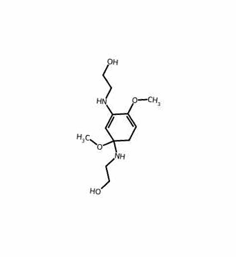 COC1=CCC(NCCO)(OC)C=C1NCCO